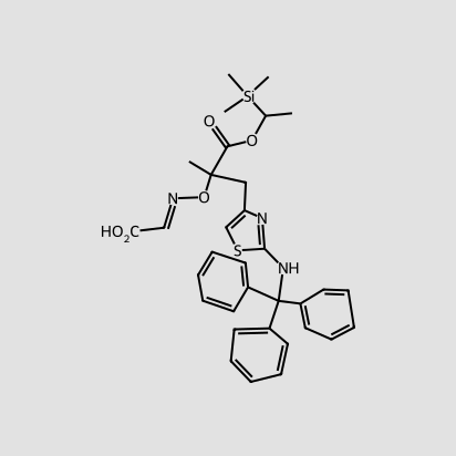 CC(OC(=O)C(C)(Cc1csc(NC(c2ccccc2)(c2ccccc2)c2ccccc2)n1)ON=CC(=O)O)[Si](C)(C)C